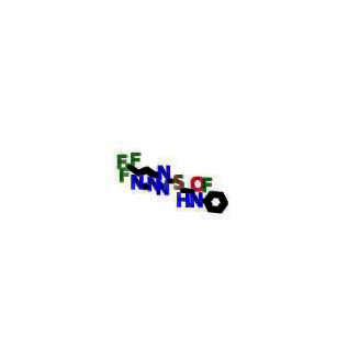 O=C(CSc1nc2cc(C(F)(F)F)ncn2n1)Nc1ccccc1F